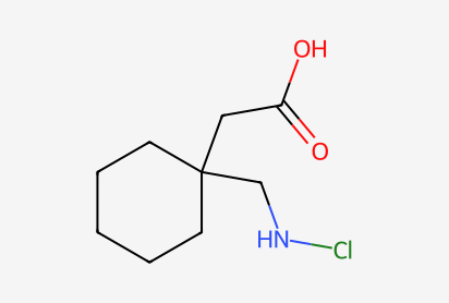 O=C(O)CC1(CNCl)CCCCC1